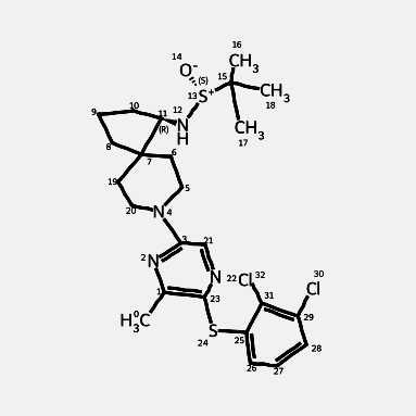 Cc1nc(N2CCC3(CCC[C@H]3N[S@+]([O-])C(C)(C)C)CC2)cnc1Sc1cccc(Cl)c1Cl